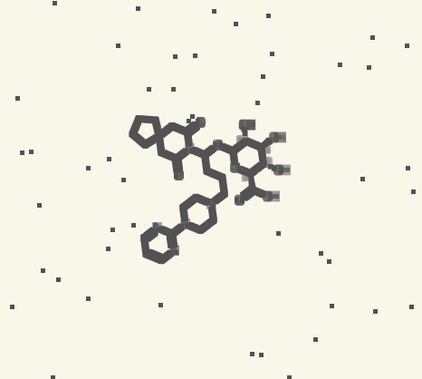 O=C(O)[C@H]1OC(OC(CCCN2CCN(c3ncccn3)CC2)N2C(=O)CC3(CCCC3)CC2=O)[C@H](O)[C@@H](O)[C@@H]1O